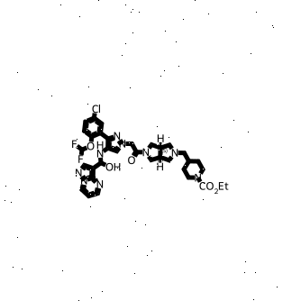 CCOC(=O)N1CCC(CN2C[C@@H]3CN(C(=O)Cn4cc(NC(O)c5cnn6cccnc56)c(-c5cc(Cl)ccc5OC(F)F)n4)C[C@@H]3C2)CC1